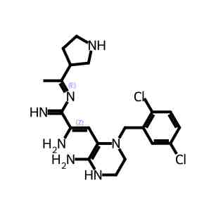 C/C(=N\C(=N)/C(N)=C/C1=C(N)NCCN1Cc1cc(Cl)ccc1Cl)C1CCNC1